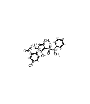 CC1=N[N+](C)(c2ccc(Cl)cc2[N+](=O)[O-])C(Cl)=C1S(=O)(=O)N(C)c1ccccc1